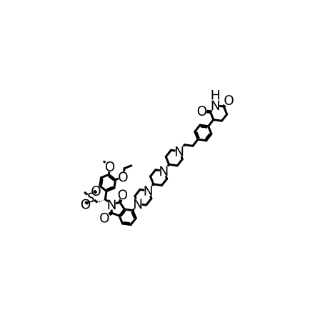 CCOc1cc([C@@H](CS(C)(=O)=O)N2C(=O)c3cccc(N4CCN(C5CCN(C6CCN(CCc7ccc(C8CCC(=O)NC8=O)cc7)CC6)CC5)CC4)c3C2=O)ccc1OC